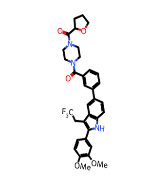 COc1ccc(-c2[nH]c3ccc(-c4cccc(C(=O)N5CCN(C(=O)C6CCCO6)CC5)c4)cc3c2CC(F)(F)F)cc1OC